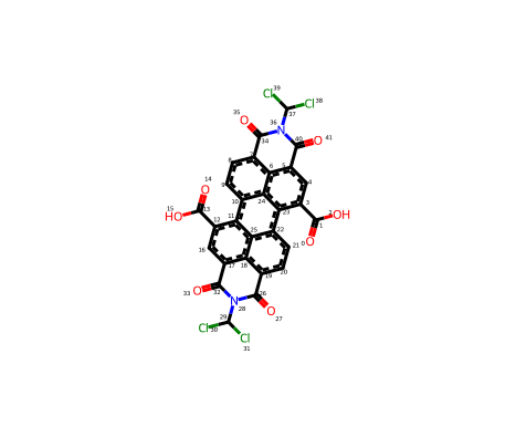 O=C(O)c1cc2c3c(ccc4c5c(C(=O)O)cc6c7c(ccc(c1c34)c75)C(=O)N(C(Cl)Cl)C6=O)C(=O)N(C(Cl)Cl)C2=O